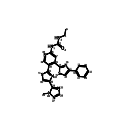 CCNC(=O)Nc1cc(-c2nc(-c3ccccc3)cs2)c(-c2nc(-c3ncnn3C)cs2)cn1